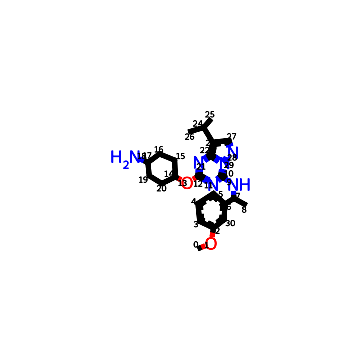 COc1cccc(C(C)Nc2nc(OC3CCC(N)CC3)nc3c(C(C)C)cnn23)c1